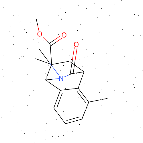 COC(=O)C1(C)CC2C(=O)N(C)C1c1cccc(C)c12